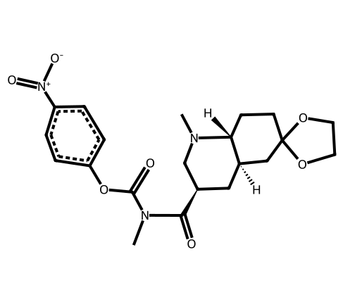 CN(C(=O)Oc1ccc([N+](=O)[O-])cc1)C(=O)[C@@H]1C[C@@H]2CC3(CC[C@H]2N(C)C1)OCCO3